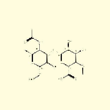 COC1[C@H](C(=O)O)O[C@H](O[C@@H]2C(O)[C@H](CO)O[C@@H](C)[C@H]2NC(C)=O)[C@@H](O)[C@H]1O